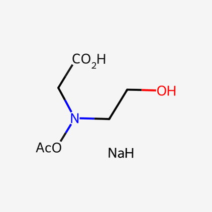 CC(=O)ON(CCO)CC(=O)O.[NaH]